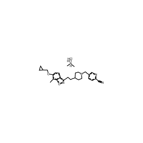 CNC.Cc1c(OCC2CC2)ccc2c(CCC3CCN(Cc4ccc(C#N)nc4)CC3)noc12.Cl.Cl